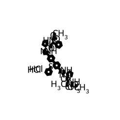 COC(=O)N[C@H](C(=O)N1CCC[C@H]1c1ncc(-c2ccc(-c3ccc(-c4cnc([C@@H]5CCCN5C(=O)[C@H](NC(=O)OC)c5ccccc5)[nH]4)cc3)c(Sc3ccccc3)c2)[nH]1)C(C)C.Cl.Cl